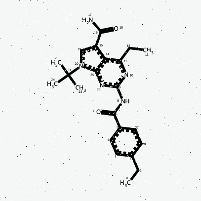 CCc1ccc(C(=O)Nc2nc(CC)c3c(C(N)=O)cn(C(C)(C)C)c3n2)cc1